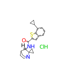 Cl.O=C(N[C@@H]1C2CCN(CC2)C12CC2)c1cc2cccc(C3CC3)c2s1